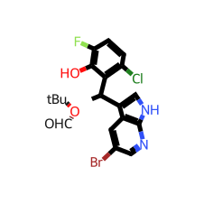 CC(C)(C)OC=O.CC(c1c(Cl)ccc(F)c1O)c1c[nH]c2ncc(Br)cc12